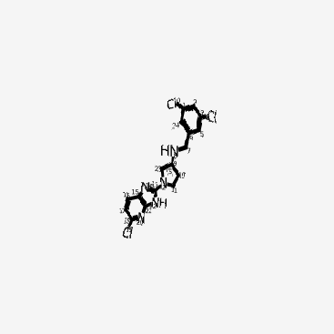 Clc1cc(Cl)cc(CN[C@H]2CCN(c3nc4ccc(Cl)nc4[nH]3)C2)c1